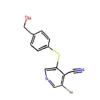 N#Cc1c(Br)cncc1Sc1ccc(CO)cc1